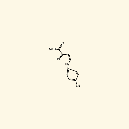 COC(=O)C(=N)/N=C\Nc1ccc(C#N)cc1